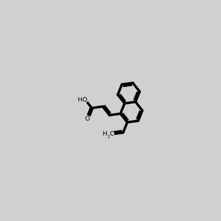 C=Cc1ccc2ccccc2c1C=CC(=O)O